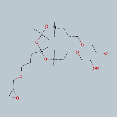 C[Si](C)(CCCOCCO)O[Si](C)(C)O[Si](C)(CCCOCC1CO1)O[Si](C)(C)CCOCCO